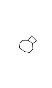 [CH]1CC2CCCCCCC12